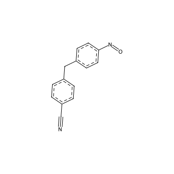 N#Cc1ccc(Cc2ccc(N=O)cc2)cc1